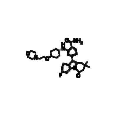 CC1(C)CC(=O)n2c(c(-c3ccc(C(N)=O)c(N[C@H]4CC[C@H](OCCN5CCOCC5)CC4)c3)c3ccc(F)cc32)C1